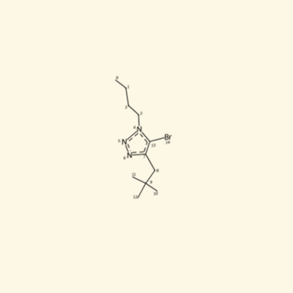 CCCCn1nnc(CC(C)(C)C)c1Br